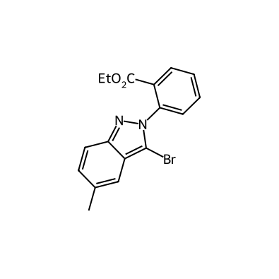 CCOC(=O)c1ccccc1-n1nc2ccc(C)cc2c1Br